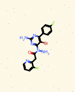 Nc1nc(-c2ccc(F)cc2)c(Br)c(N(N)C(=O)Cc2ncccc2F)n1